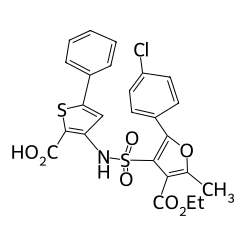 CCOC(=O)c1c(C)oc(-c2ccc(Cl)cc2)c1S(=O)(=O)Nc1cc(-c2ccccc2)sc1C(=O)O